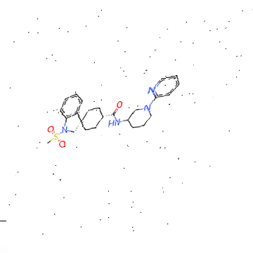 CS(=O)(=O)N1C[C@]2(CC[C@@H](C(=O)NC3CCCN(c4ccccn4)C3)CC2)c2ccccc21